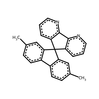 Cc1ccc2c(c1)C1(c3cc(C)ccc3-2)c2cccnc2-c2ncccc21